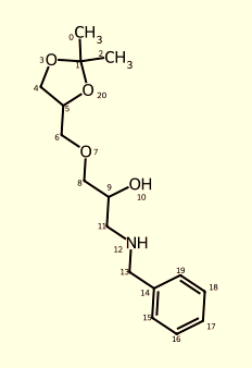 CC1(C)OCC(COCC(O)CNCc2ccccc2)O1